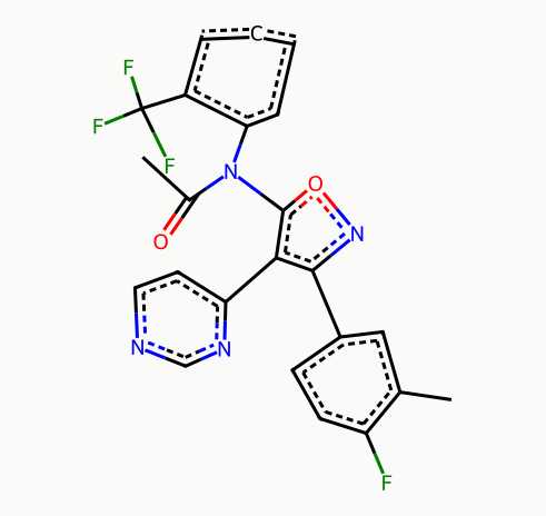 CC(=O)N(c1ccccc1C(F)(F)F)c1onc(-c2ccc(F)c(C)c2)c1-c1ccncn1